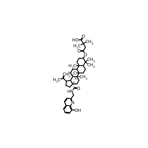 C=C(C)C1CC[C@]2(C(=O)NCc3ccc4cccc(O)c4n3)CC[C@]3(C)C(CCC4C5(C)CCC(OC(=O)CC(C)(C)C(=O)O)C(C)(C)C5CCC43C)C12